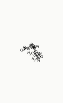 C[C@H]1[C@@H](O)[C@H](n2cnc3c(=O)[nH]c(N)nc32)O[C@@H]1COP(=O)(O)OP(=O)(O)OCCNC(=O)CCl